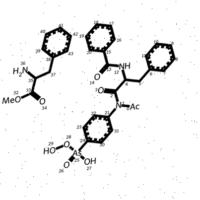 CC(=O)N(C(=O)C(Cc1ccccc1)NC(=O)c1ccccc1)c1ccc([As](=O)(O)OO)cc1.COC(=O)C(N)Cc1ccccc1